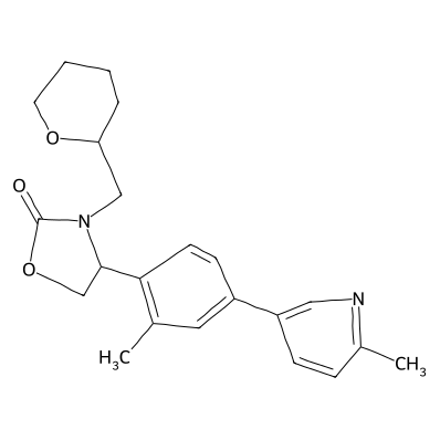 Cc1ccc(-c2ccc(C3COC(=O)N3CC3CCCCO3)c(C)c2)cn1